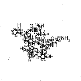 CC(C)C[C@H](NC(=O)[C@H](C)N)C(=O)N[C@@H](CS)C(=O)NCC(=O)N[C@@H](Cc1c[nH]c2ccccc12)C(=O)N[C@@H](CCCNC(=N)N)C(=O)N[C@@H](CS)C(=O)N[C@@H](CC(C)C)C(=O)N[C@@H](Cc1ccc(O)cc1)C(=O)NCC(=O)NCC(=O)N[C@@H](CCCCN)C(=O)O